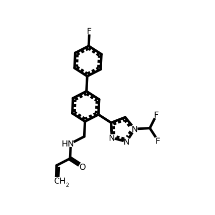 C=CC(=O)NCc1ccc(-c2ccc(F)cc2)cc1-c1cn(C(F)F)nn1